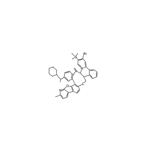 C=C1C2C(CCc3ccc4c(oc5nc(C)ccc54)c3-c3cc(C(C)C4CCCCC4)cc[n+]31)c1ccccc1-c1cc(C(C)C)c([Si](C)(C)C)c[n+]12